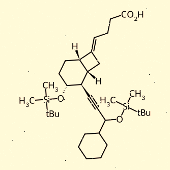 CC(C)(C)[Si](C)(C)OC(C#C[C@@H]1[C@H]2C/C(=C\CCC(=O)O)[C@H]2CC[C@H]1O[Si](C)(C)C(C)(C)C)C1CCCCC1